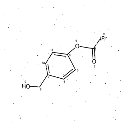 CC(C)C(=O)Oc1ccc(CO)cc1